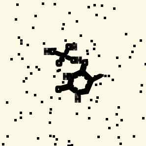 Cc1c[nH]c(=O)[nH]c1=O.O=P(O)(O)O